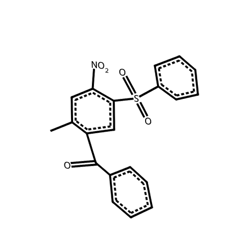 Cc1cc([N+](=O)[O-])c(S(=O)(=O)c2ccccc2)cc1C(=O)c1ccccc1